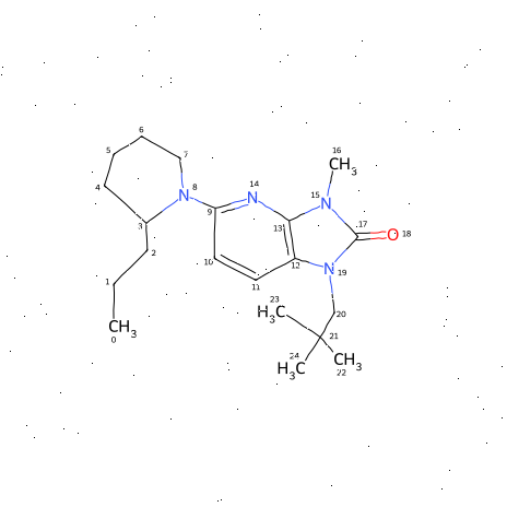 CCCC1CCCCN1c1ccc2c(n1)n(C)c(=O)n2CC(C)(C)C